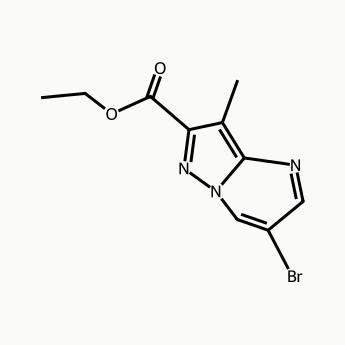 CCOC(=O)c1nn2cc(Br)cnc2c1C